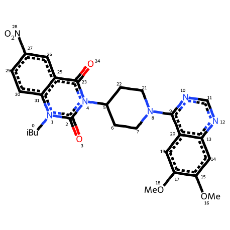 CCC(C)n1c(=O)n(C2CCN(c3ncnc4cc(OC)c(OC)cc34)CC2)c(=O)c2cc([N+](=O)[O-])ccc21